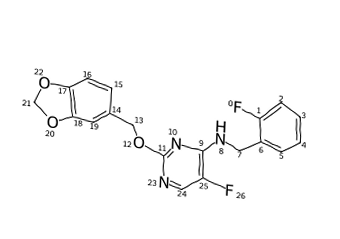 Fc1ccccc1CNc1nc(OCc2ccc3c(c2)OCO3)ncc1F